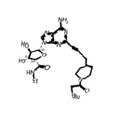 CCNC(=O)[C@H]1O[C@@H](n2cnc3c(N)nc(C#CCC4CCN(C(=O)CC(C)(C)C)CC4)nc32)C(O)[C@H]1O